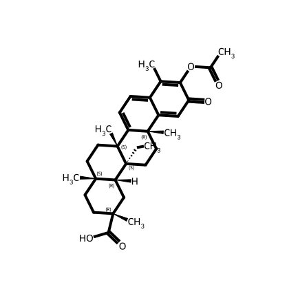 CC[C@@]12CC[C@@]3(C)C4=CC(=O)C(OC(C)=O)=C(C)C4=CC=C3[C@@]1(C)CC[C@@]1(C)CC[C@@](C)(C(=O)O)C[C@H]12